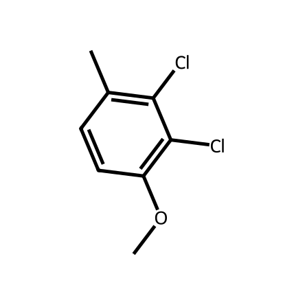 COc1ccc(C)c(Cl)c1Cl